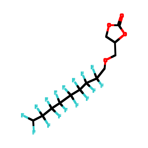 O=C1OCC(COCC(F)(F)C(F)(F)C(F)(F)C(F)(F)C(F)(F)C(F)(F)C(F)(F)C(F)F)O1